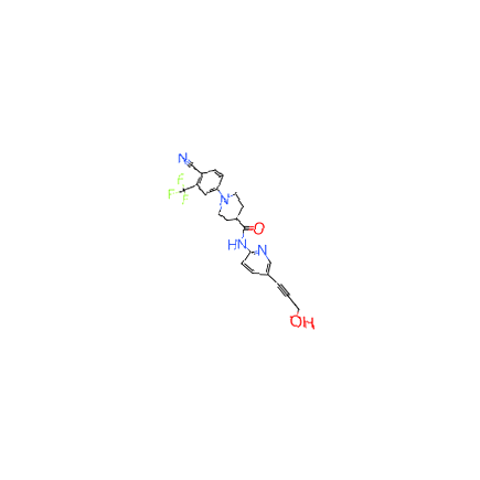 N#Cc1ccc(N2CCC(C(=O)Nc3ccc(C#CCO)cn3)CC2)cc1C(F)(F)F